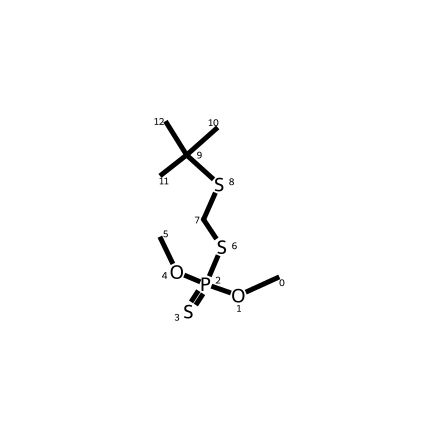 COP(=S)(OC)SCSC(C)(C)C